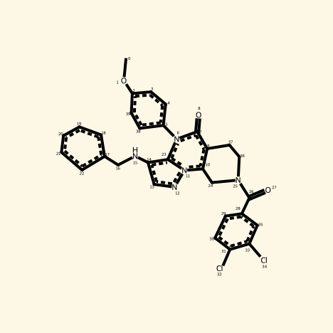 COc1ccc(-n2c(=O)c3c(n4ncc(NCc5ccccc5)c24)CN(C(=O)c2ccc(Cl)c(Cl)c2)CC3)cc1